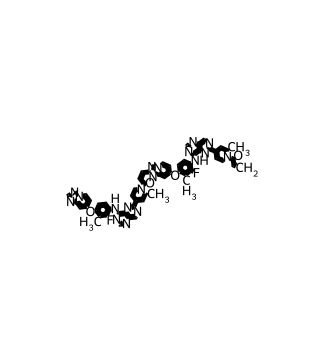 C=CC(=O)N1CC=C(c2ncc3ncnc(Nc4ccc(Oc5ccn6nc(/C=C\C(=O)N7CCC(c8ncc9ncnc(Nc%10ccc(Oc%11ccn%12ncnc%12c%11)c(C)c%10F)c9n8)=C[C@H]7C)nc6c5)c(C)c4F)c3n2)C[C@H]1C